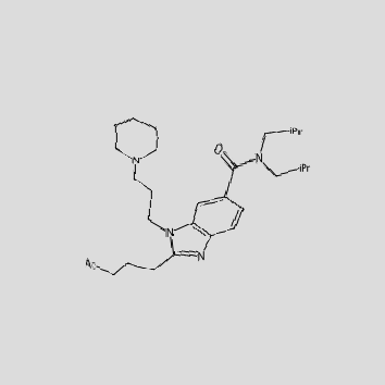 CC(=O)CCCc1nc2ccc(C(=O)N(CC(C)C)CC(C)C)cc2n1CCCN1CCCCC1